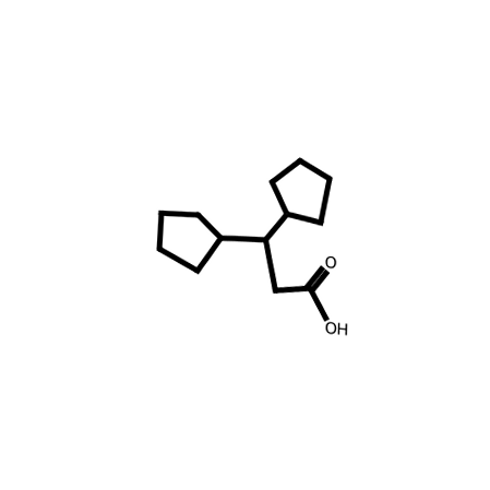 O=C(O)CC(C1CCCC1)C1CCCC1